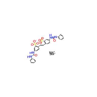 O=C(Nc1ccccc1)Nc1ccc(C=Cc2ccc(NC(=O)Nc3ccccc3)cc2S(=O)(=O)[O-])c(S(=O)(=O)[O-])c1.[Na+].[Na+]